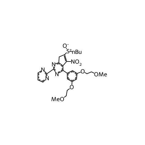 CCCC[S+]([O-])C1=C([N+](=O)[O-])c2c(nc(-c3ncccn3)nc2-c2cc(OCCOC)cc(OCCOC)c2)C1